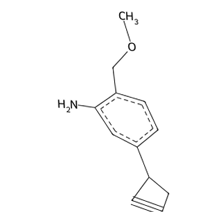 COCc1ccc(C2C#CC2)cc1N